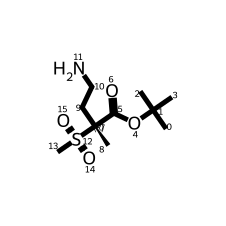 CC(C)(C)OC(=O)[C@@](C)(CCN)S(C)(=O)=O